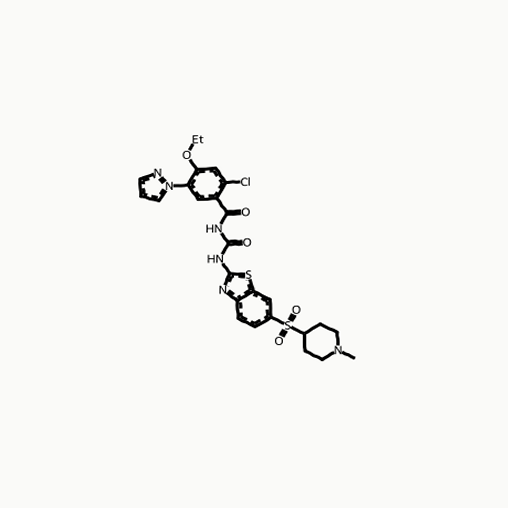 CCOc1cc(Cl)c(C(=O)NC(=O)Nc2nc3ccc(S(=O)(=O)C4CCN(C)CC4)cc3s2)cc1-n1cccn1